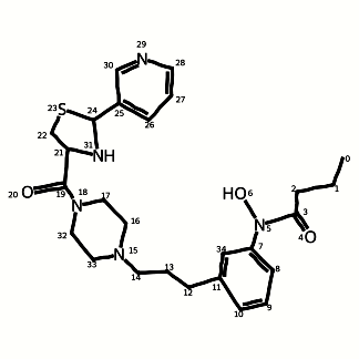 CCCC(=O)N(O)c1cccc(CCCN2CCN(C(=O)C3CSC(c4cccnc4)N3)CC2)c1